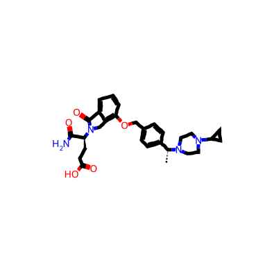 C[C@H](c1ccc(COc2cccc3c2CN([C@@H](CCC(=O)O)C(N)=O)C3=O)cc1)N1CCN(C2CC2)CC1